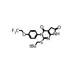 CC(C)(C)CSc1nc2c(c(=O)n1-c1ccc(OCC(F)(F)F)cc1)CC(=O)N2